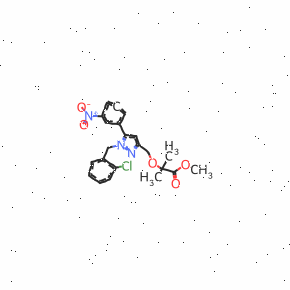 COC(=O)C(C)(C)OCc1cc(-c2cccc([N+](=O)[O-])c2)n(Cc2ccccc2Cl)n1